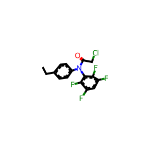 CCc1ccc(N(C(=O)CCl)c2c(F)c(F)cc(F)c2F)cc1